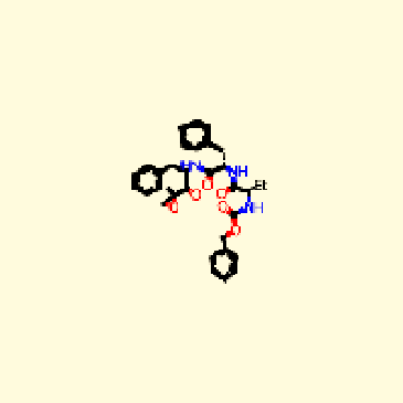 CC[C@@H](NC(=O)OCc1ccccc1)C(=O)N[C@@H](Cc1ccccc1)C(=O)NC(Cc1ccccc1)C(=O)C1(C)CO1